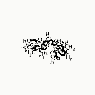 C#CCOC(=O)NC1C=C[C@]2(O[C@H]([C@@H](CC)C(=O)[C@@H](C)[C@@H](O)[C@H](C)[C@@H]3O[C@@H](C(CC)C(=O)O)CC[C@@H]3C)[C@@H](C)C[C@H]2C)O[C@@]12CC[C@@](C)([C@H]1CC[C@](O)(CC)[C@H](C)O1)O2